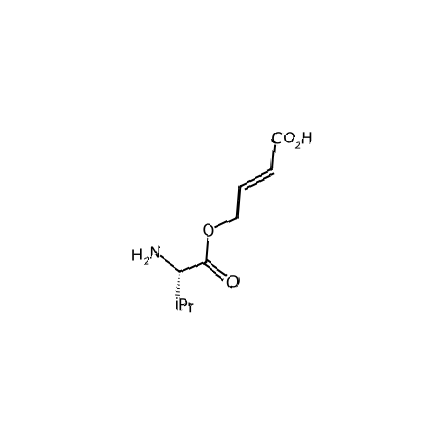 CC(C)[C@H](N)C(=O)OCC=CC(=O)O